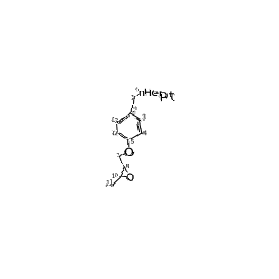 CCCCCCCCc1ccc(OCC2OC2C)cc1